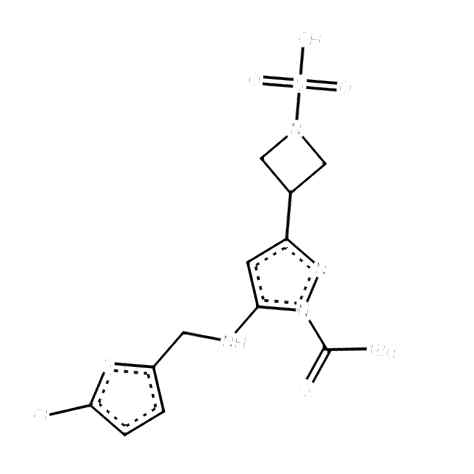 CC(C)(C)C(=O)n1nc(C2CN(S(C)(=O)=O)C2)cc1NCc1ccc(Cl)s1